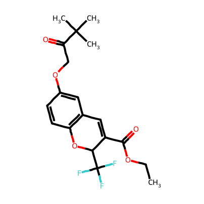 CCOC(=O)C1=Cc2cc(OCC(=O)C(C)(C)C)ccc2OC1C(F)(F)F